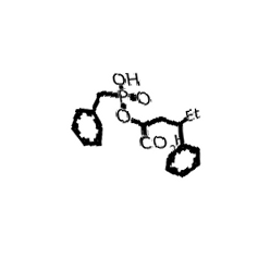 CCC(CC(OP(=O)(O)Cc1ccccc1)C(=O)O)c1ccccc1